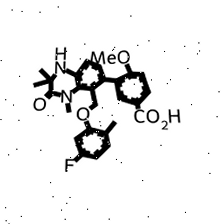 COc1ccc(C(=O)O)cc1-c1ccc2c(c1COc1cc(F)ccc1C)N(C)C(=O)C(C)(C)N2